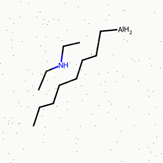 CCCCCCC[CH2][AlH2].CCNCC